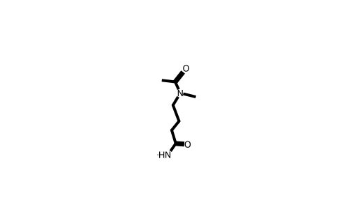 CC(=O)N(C)CCCC([NH])=O